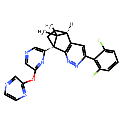 CC1(C)[C@H]2CC[C@]1(c1cncc(Oc3cnccn3)n1)c1nnc(-c3c(F)cccc3F)cc12